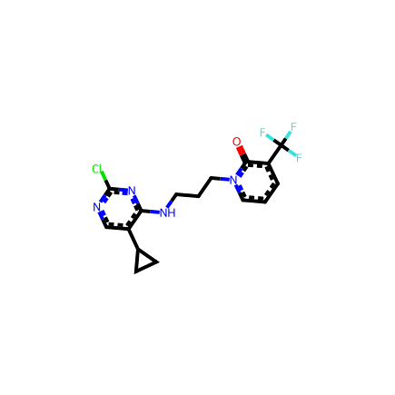 O=c1c(C(F)(F)F)cccn1CCCNc1nc(Cl)ncc1C1CC1